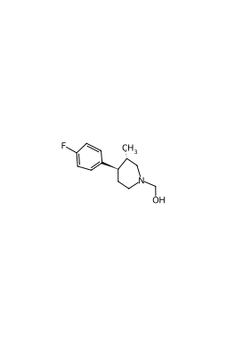 C[C@@H]1CN(CO)CC[C@H]1c1ccc(F)cc1